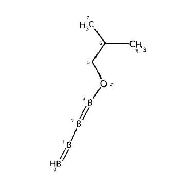 B=BB=BOCC(C)C